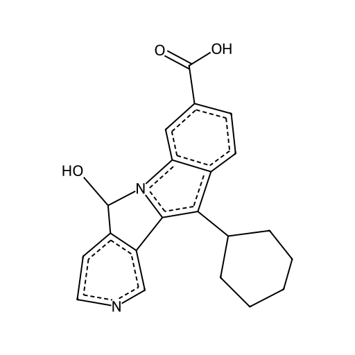 O=C(O)c1ccc2c(C3CCCCC3)c3n(c2c1)C(O)c1ccncc1-3